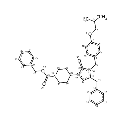 CC(C)COc1ccc(Cn2c(Cc3ccccc3)cn(C3CCN(C(=O)OCc4ccccc4)CC3)c2=O)cc1